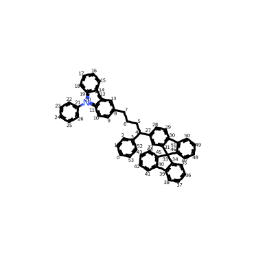 c1ccc(C(CCCc2ccc3c(c2)c2ccccc2n3-c2ccccc2)c2ccc3c(c2)C2(c4ccccc4-c4ccccc42)c2ccccc2-3)cc1